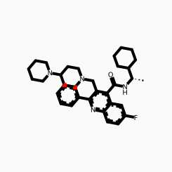 C[C@H](NC(=O)c1c(CN2CCC(N3CCCCC3)CC2)c(-c2ccccc2)nc2ccc(F)cc12)C1CCCCC1